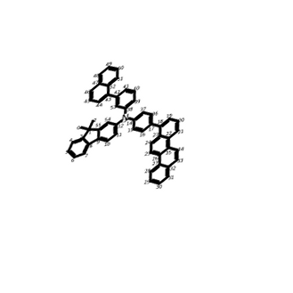 CC1(C)c2ccccc2-c2ccc(N(c3ccc(-c4cccc5c4ccc4c6ccccc6ccc54)cc3)c3cccc(-c4cccc5ccccc45)c3)cc21